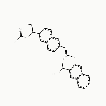 CCC(SC(=N)N)c1ccc2cc(/N=C(/N)SC(C)c3ccc4ccccc4c3)ccc2c1